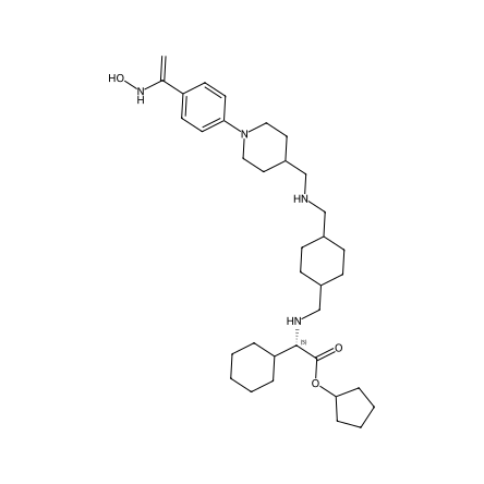 C=C(NO)c1ccc(N2CCC(CNCC3CCC(CN[C@H](C(=O)OC4CCCC4)C4CCCCC4)CC3)CC2)cc1